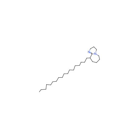 CCCCCCCCCCCCCCCCCCC1CCCCN2CCCN=C12